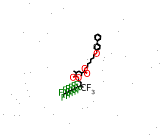 CC(CC(C)C(=O)OCCC(C(F)(F)F)C(F)(F)C(F)(F)C(F)(F)C(F)(F)C(F)(F)C(F)F)C(=O)OCCCCCCOc1ccc(-c2ccccc2)cc1